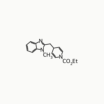 CCOC(=O)N1C=CC(Cc2nc3ccccc3n2C)C=C1